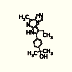 CCc1c(-c2ccc(C(C)(C)O)cc2)[nH]c2nc(C)c3cncn3c12